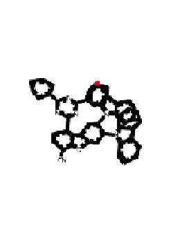 N#Cc1ccc(-c2nc(-c3ccccc3)nc(-c3ccccc3)n2)c2c1oc1cc(-n3c4c#cccc4c4ccccc43)c(-n3c4c(c5ccccc53)C=CCC4)cc12